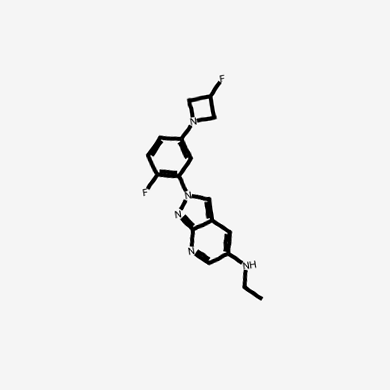 CCNc1cnc2nn(-c3cc(N4CC(F)C4)ccc3F)cc2c1